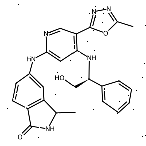 Cc1nnc(-c2cnc(Nc3ccc4c(c3)C(C)NC4=O)cc2N[C@H](CO)c2ccccc2)o1